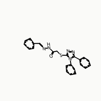 O=C(CSc1nnc(-c2ccccc2)n1-c1ccccc1)NN=Cc1ccccc1